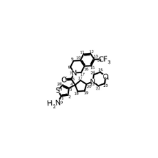 Nc1cc(C2(C(=O)N3CCc4ccc(C(F)(F)F)cc4C3)CCC(N3CCOCC3)C2)cs1